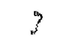 CC/C=C\C#CCCCCBr